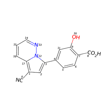 N#Cc1cc(-c2ccc(C(=O)O)c(O)c2)n2ncccc12